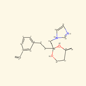 COc1cccc(CCC2(Cn3ccnc3)OCCC(C)O2)c1